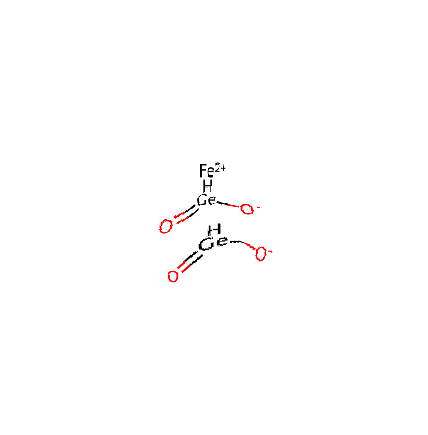 [Fe+2].[O]=[GeH][O-].[O]=[GeH][O-]